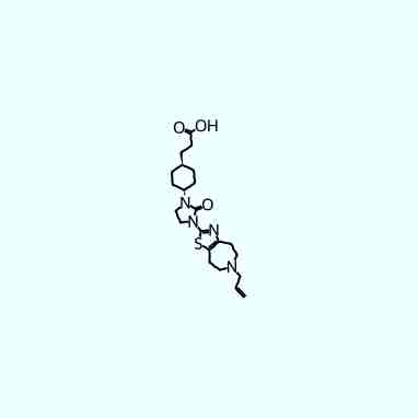 C=CCN1CCc2nc(N3CCN([C@H]4CC[C@H](CCC(=O)O)CC4)C3=O)sc2CC1